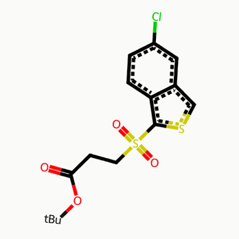 CC(C)(C)OC(=O)CCS(=O)(=O)c1scc2cc(Cl)ccc12